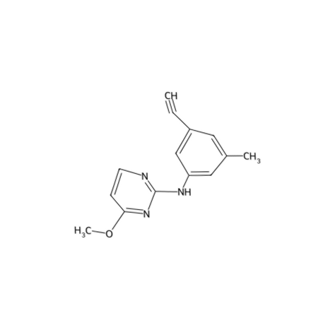 C#Cc1cc(C)cc(Nc2nccc(OC)n2)c1